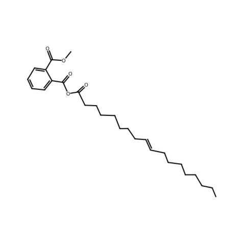 CCCCCCCCC=CCCCCCCCC(=O)OC(=O)c1ccccc1C(=O)OC